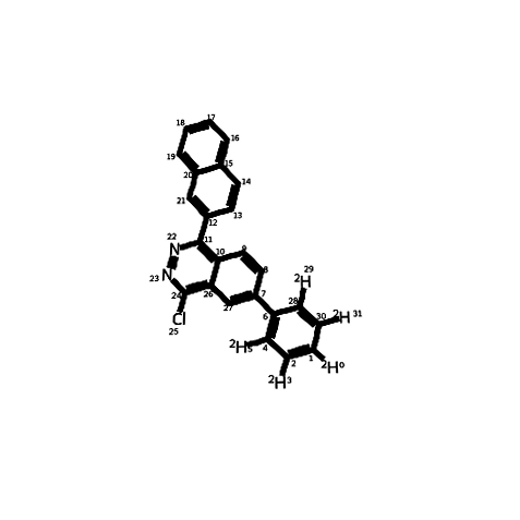 [2H]c1c([2H])c([2H])c(-c2ccc3c(-c4ccc5ccccc5c4)nnc(Cl)c3c2)c([2H])c1[2H]